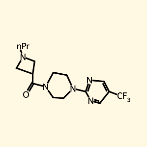 CCCN1CC(C(=O)N2CCN(c3ncc(C(F)(F)F)cn3)CC2)C1